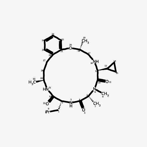 CC(C)C[C@H]1NC(=O)[C@@H](C)N(C)C(=O)[C@H](C2CC2)NC[C@@H](C)Oc2ccccc2CC[C@H](C)NC1=O